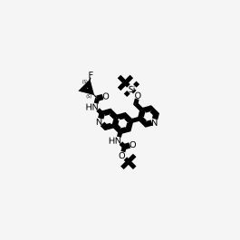 CC(C)(C)OC(=O)Nc1cc(-c2cnccc2CO[Si](C)(C)C(C)(C)C)cc2cc(NC(=O)[C@@H]3C[C@@H]3F)ncc12